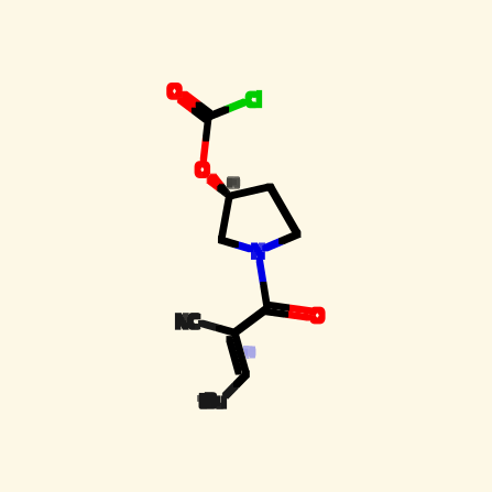 CC(C)(C)/C=C(\C#N)C(=O)N1CC[C@H](OC(=O)Cl)C1